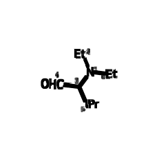 CCN(CC)C(C=O)C(C)C